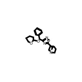 c1ccc(C(OC2CCCCO2)c2noc(C3CN4CCC3CC4)n2)cc1